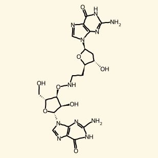 Nc1nc2c(ncn2[C@@H]2O[C@H](CO)[C@@H](ONCC[C@H]3O[C@@H](n4cnc5c(=O)[nH]c(N)nc54)C[C@@H]3O)[C@H]2O)c(=O)[nH]1